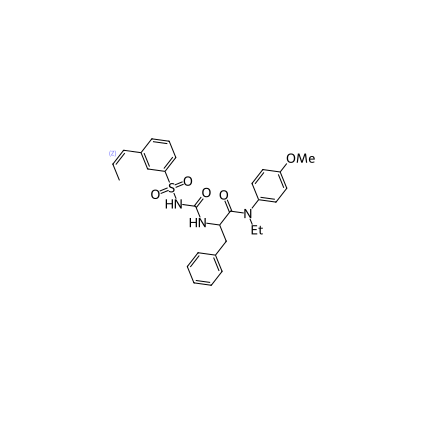 C/C=C\c1cccc(S(=O)(=O)NC(=O)NC(Cc2ccccc2)C(=O)N(CC)c2ccc(OC)cc2)c1